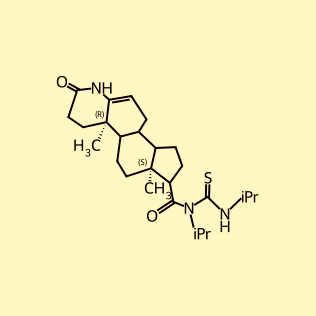 CC(C)NC(=S)N(C(=O)C1CCC2C3CC=C4NC(=O)CC[C@]4(C)C3CC[C@]12C)C(C)C